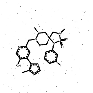 Cc1ccsc1-c1cc(CN2CC[C@@]3(C[C@@H]2C)CN(C)S(=O)(=O)N3c2cccc(F)c2)ncc1O